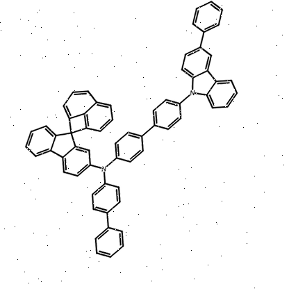 c1ccc(-c2ccc(N(c3ccc(-c4ccc(-n5c6ccccc6c6cc(-c7ccccc7)ccc65)cc4)cc3)c3ccc4c(c3)C3(c5ccccc5-4)c4cccc5cccc3c45)cc2)cc1